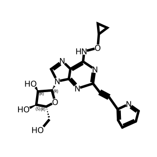 OC[C@H]1O[C@@H](n2cnc3c(NOC4CC4)nc(C#Cc4ccccn4)nc32)[C@H](O)[C@@H]1O